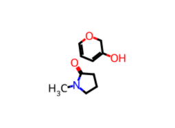 CN1CCCC1=O.OC1=CC=COC1